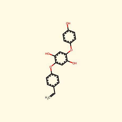 C=Cc1ccc(Oc2cc(O)c(Oc3ccc(O)cc3)cc2O)cc1